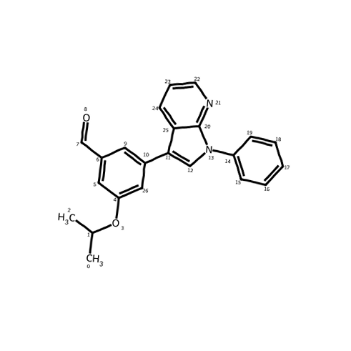 CC(C)Oc1cc(C=O)cc(-c2cn(-c3ccccc3)c3ncccc23)c1